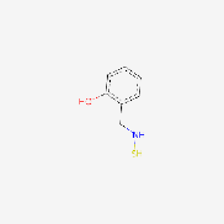 Oc1ccccc1CNS